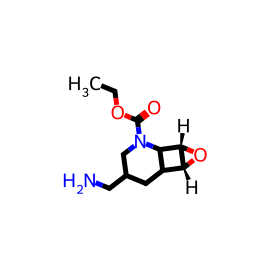 CCOC(=O)N1CC(CN)CC2C1[C@@H]1O[C@H]21